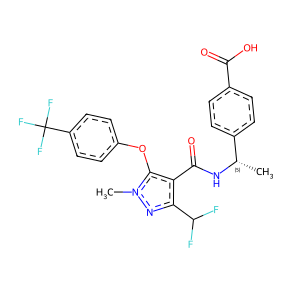 C[C@H](NC(=O)c1c(C(F)F)nn(C)c1Oc1ccc(C(F)(F)F)cc1)c1ccc(C(=O)O)cc1